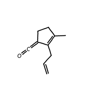 C=CCC1=C(C)CCC1=C=O